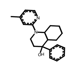 Cc1ccnc(N2CCC(O)(c3ccccc3)C3CCCCC32)c1